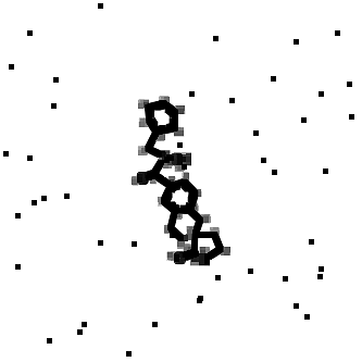 O=C(c1ccc2c(c1)CC[C@@]1(CCNC1=O)C2)N(O)Cc1ccccc1